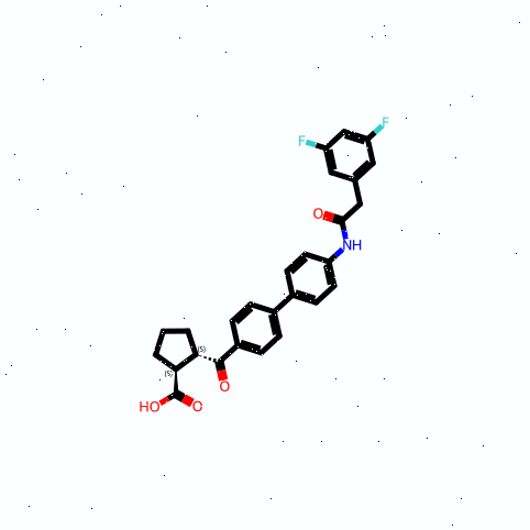 O=C(Cc1cc(F)cc(F)c1)Nc1ccc(-c2ccc(C(=O)[C@H]3CCC[C@@H]3C(=O)O)cc2)cc1